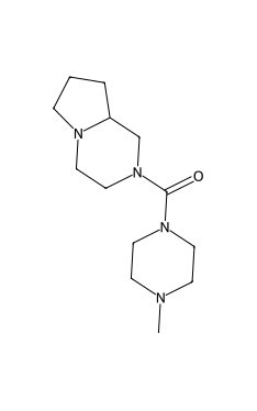 CN1CCN(C(=O)N2CCN3CCCC3C2)CC1